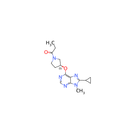 CCC(=O)N1CC[C@H](Oc2ncnc3c2nc(C2CC2)n3C)C1